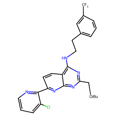 CC(C)COCc1nc(NCCc2cccc(C(F)(F)F)c2)c2ccc(-c3ncccc3Cl)nc2n1